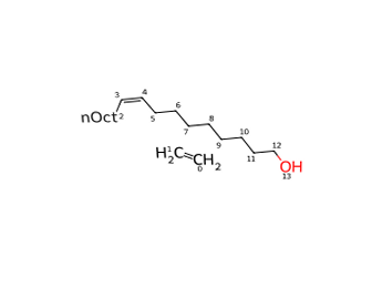 C=C.CCCCCCCC/C=C\CCCCCCCCO